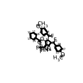 COc1ccc(C(F)[C@@H]2[C@H](OC(=O)c3ccccc3)c3c(n[nH]c3C(F)(F)F)[C@@H]2C(F)c2ccc(OC)cc2)cc1